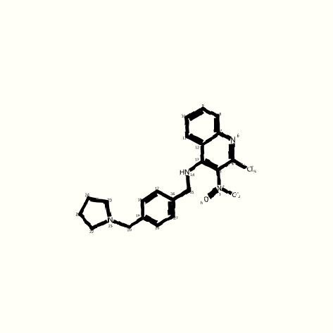 O=[N+]([O-])c1c(Cl)nc2ccccc2c1NCc1ccc(CN2CCCC2)cc1